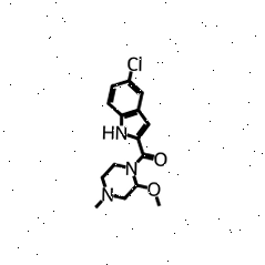 COC1CN(C)CCN1C(=O)c1cc2cc(Cl)ccc2[nH]1